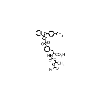 Cc1ccc(OC2(c3ccccc3)CN(S(=O)(=O)c3cccc(CC(NC(=O)OC(C)OC(=O)C(C)C)C(=O)O)c3)C2)cc1